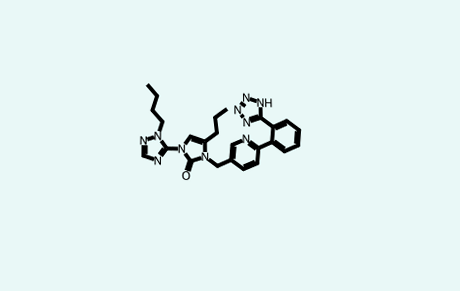 CCCCn1ncnc1-n1cc(CCC)n(Cc2ccc(-c3ccccc3-c3nnn[nH]3)nc2)c1=O